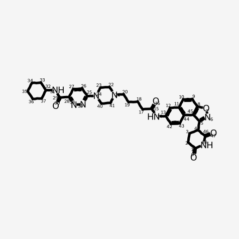 O=C1CCC(c2noc3ccc4cc(NC(=O)CCCCN5CCN(c6ccc(C(=O)NC7CCCCC7)nn6)CC5)ccc4c23)C(=O)N1